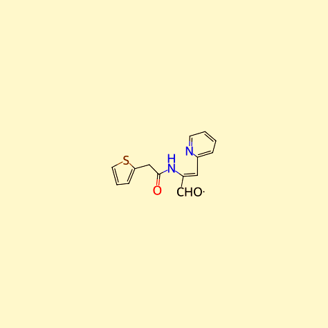 O=[C]C(=Cc1ccccn1)NC(=O)Cc1cccs1